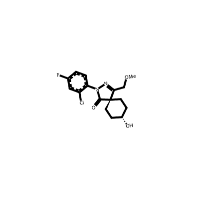 COCC1=NN(c2ccc(F)cc2Cl)C(=O)[C@]12CC[C@@H](O)CC2